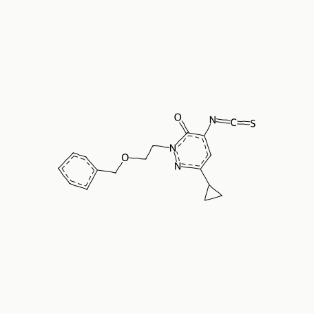 O=c1c(N=C=S)cc(C2CC2)nn1CCOCc1ccccc1